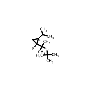 CC(C)[C@@H]1C[C@@]1(F)C(C)(C)OC(C)(C)C